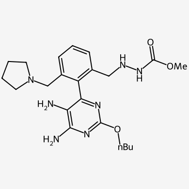 CCCCOc1nc(N)c(N)c(-c2c(CNNC(=O)OC)cccc2CN2CCCC2)n1